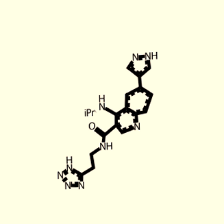 CC(C)Nc1c(C(=O)NCCc2nnn[nH]2)cnc2ccc(-c3cn[nH]c3)cc12